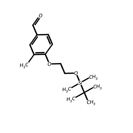 Cc1cc(C=O)ccc1OCCO[Si](C)(C)C(C)(C)C